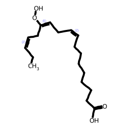 CC/C=C\C/C(=C\C/C=C\CCCCCCCC(=O)O)OO